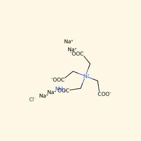 N.O=C([O-])C[N+](CC(=O)[O-])(CC(=O)[O-])CC(=O)[O-].[Cl-].[Na+].[Na+].[Na+].[Na+]